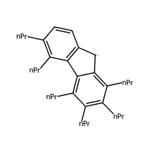 CCCc1ccc2c(c1CCC)-c1c(c(CCC)c(CCC)c(CCC)c1CCC)[CH]2